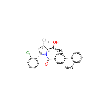 C=C(O)[C@@H]1[C@@H](C)C[C@@H](c2ccccc2Cl)N1C(=O)c1ccc(-c2ccccc2OC)cc1